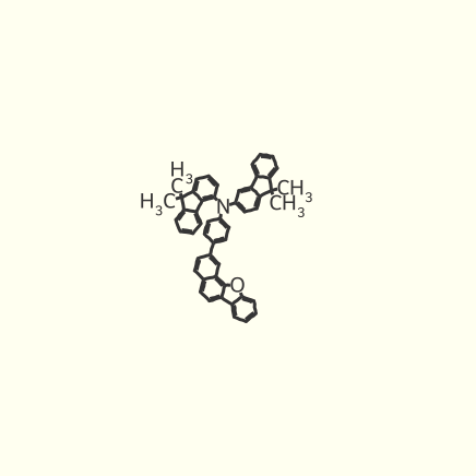 CC1(C)c2ccccc2-c2cc(N(c3ccc(-c4ccc5ccc6c7ccccc7oc6c5c4)cc3)c3cccc4c3-c3ccccc3C4(C)C)ccc21